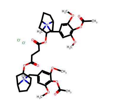 COc1cc(C[N+]2(C)C3CCC2CC(OC(=O)CCC(=O)OC2CC4CCC(C2)[N+]4(C)Cc2cc(OC)c(OC(C)=O)c(OC)c2)C3)cc(OC)c1OC(C)=O.[Cl-].[Cl-]